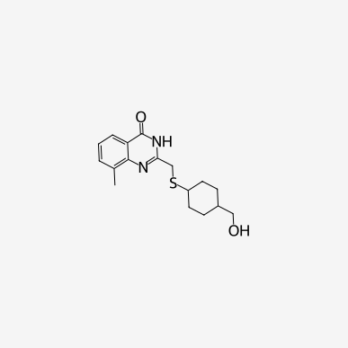 Cc1cccc2c(=O)[nH]c(CSC3CCC(CO)CC3)nc12